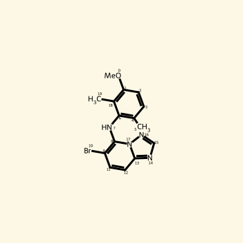 COc1ccc(C)c(Nc2c(Br)ccc3ncnn23)c1C